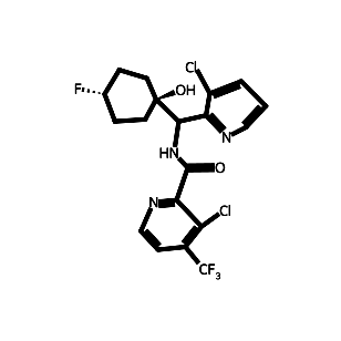 O=C(NC(c1ncccc1Cl)[C@]1(O)CC[C@H](F)CC1)c1nccc(C(F)(F)F)c1Cl